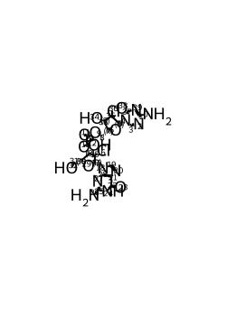 Nc1ncn([C@@H]2O[C@H](COP(=O)(O)O[C@@H]3C(Cl)[C@H](n4cnc5c(=O)[nH]c(N)nc54)O[C@@H]3CO)[C@H](O)C2Cl)c(=O)n1